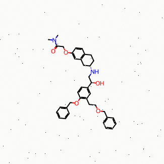 CN(C)C(=O)COc1ccc2c(c1)C[C@@H](NC[C@@H](O)c1ccc(OCc3ccccc3)c(CCOCc3ccccc3)c1)CC2